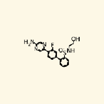 Nc1cnc(-c2ccc(-c3ccccc3[S+]([O-])NCCO)cc2F)cn1